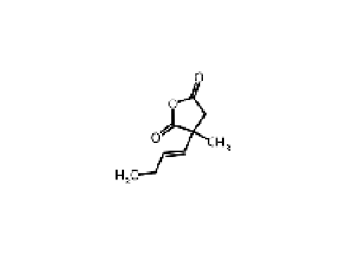 CCC=CC1(C)CC(=O)OC1=O